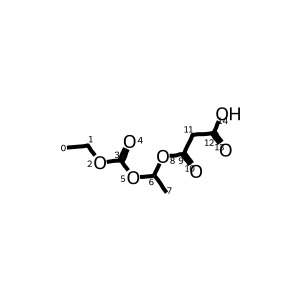 CCOC(=O)OC(C)OC(=O)CC(=O)O